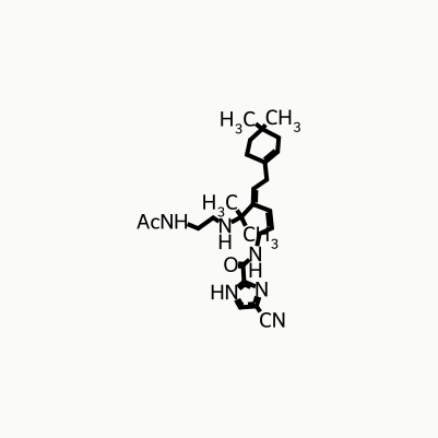 CC(=O)NCCNC(C)(C)C(/C=C\CNC(=O)c1nc(C#N)c[nH]1)=C/CC1=CCC(C)(C)CC1